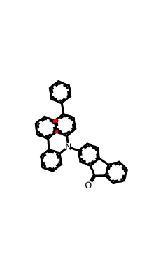 O=C1c2ccccc2-c2ccc(N(c3ccc(-c4ccccc4)cc3)c3ccccc3-c3ccccc3)cc21